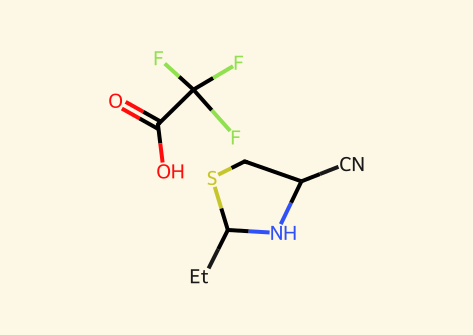 CCC1NC(C#N)CS1.O=C(O)C(F)(F)F